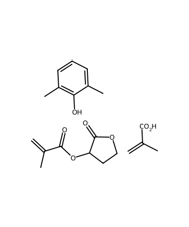 C=C(C)C(=O)O.C=C(C)C(=O)OC1CCOC1=O.Cc1c[c]cc(C)c1O